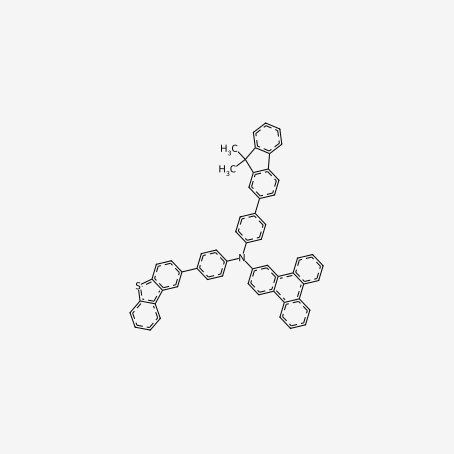 CC1(C)c2ccccc2-c2ccc(-c3ccc(N(c4ccc(-c5ccc6sc7ccccc7c6c5)cc4)c4ccc5c6ccccc6c6ccccc6c5c4)cc3)cc21